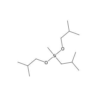 CC(C)CO[Si](C)(CC(C)C)OCC(C)C